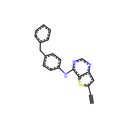 C#Cc1cc2ncnc(Nc3ccc(Cc4ccccc4)cc3)c2s1